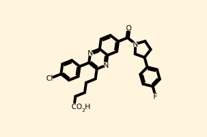 O=C(O)CCCCc1nc2cc(C(=O)N3CCC(c4ccc(F)cc4)C3)ccc2nc1-c1ccc(Cl)cc1